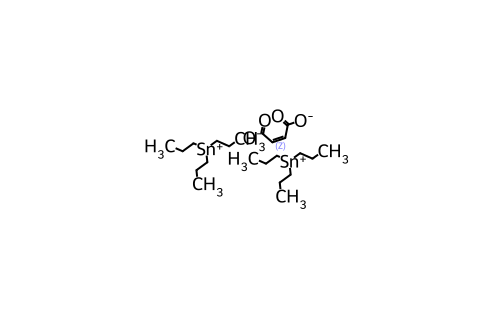 CC[CH2][Sn+]([CH2]CC)[CH2]CC.CC[CH2][Sn+]([CH2]CC)[CH2]CC.O=C([O-])/C=C\C(=O)[O-]